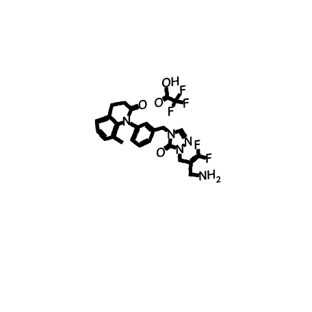 Cc1cccc2c1N(c1cccc(Cn3cnn(CC(CN)=C(F)F)c3=O)c1)C(=O)CC2.O=C(O)C(F)(F)F